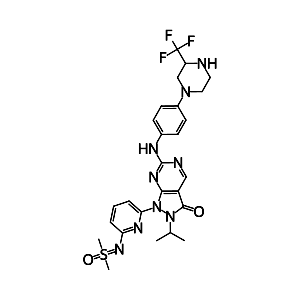 CC(C)n1c(=O)c2cnc(Nc3ccc(N4CCNC(C(F)(F)F)C4)cc3)nc2n1-c1cccc(N=S(C)(C)=O)n1